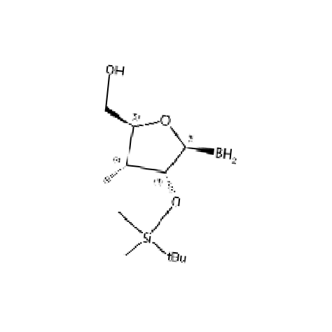 B[C@@H]1O[C@H](CO)[C@@H](C)[C@H]1O[Si](C)(C)C(C)(C)C